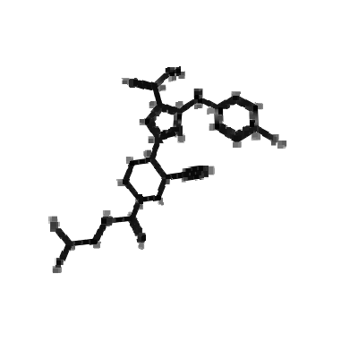 N#CC1CN(C(=O)OCC(F)F)CCC1n1cc(C(N)=O)c(Nc2ccc(F)cc2)n1